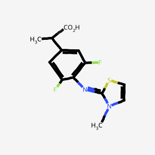 CC(C(=O)O)c1cc(F)c(N=c2sccn2C)c(F)c1